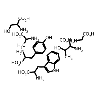 CC(N)C(=O)O.CC(O)C(N)C(=O)O.NC(CO)C(=O)O.NC(Cc1c[nH]c2ccccc12)C(=O)O.NC(Cc1ccc(O)cc1)C(=O)O.NCC(=O)O